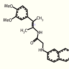 COc1ccc(/C(C)=C(\C)NC(=O)CNc2ccc3ccccc3c2)cc1OC